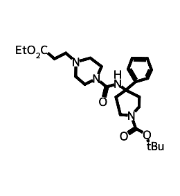 CCOC(=O)CCN1CCN(C(=O)NC2(c3ccccc3)CCN(C(=O)OC(C)(C)C)CC2)CC1